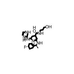 C[C@H](NC1=CC(C(O)NCCCO)CC(NC2CNC=CN2)N1)C1=CC[C@@H](F)CC1